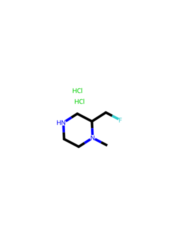 CN1CCNCC1CF.Cl.Cl